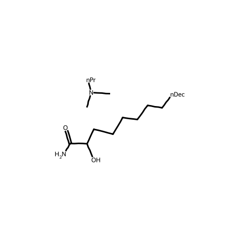 CCCCCCCCCCCCCCCCC(O)C(N)=O.CCCN(C)C